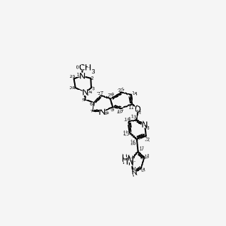 CN1CCN(Cc2cnc3cc(Oc4ccc(-c5ccn[nH]5)cn4)ccc3c2)CC1